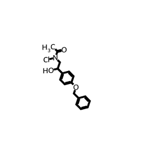 CC(=O)N(Cl)CC(O)c1ccc(OCc2ccccc2)cc1